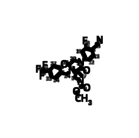 COC(=O)N1CC2(C1)C(=O)N(c1ccc(C#N)c(F)c1)CC(=O)N2Cc1ccc(C(F)(F)F)cc1